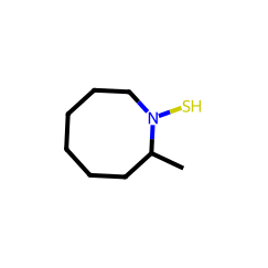 CC1CCCCCCN1S